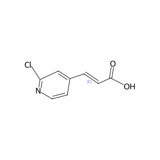 O=C(O)/C=C/c1ccnc(Cl)c1